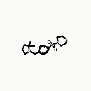 CC1(C)CCCN1Cc1ccc(S(=O)(=O)N2CCOCC2)cc1